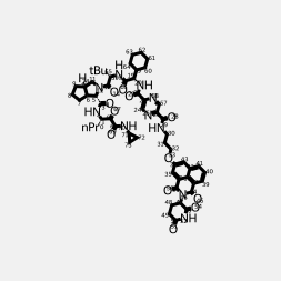 CCC[C@H](NC(=O)[C@@H]1C2CCC[C@H]2CN1C(=O)[C@@H](NC(=O)[C@@H](NC(=O)c1cnc(C(=O)NCCCOc2cc3c4c(cccc4c2)C(=O)N(C2CCC(=O)NC2=O)C3=O)cn1)C1CCCCC1)C(C)(C)C)C(=O)C(=O)NC1CC1